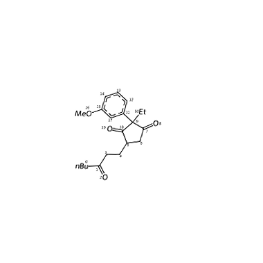 CCCCC(=O)CCC1CC(=O)C(CC)(c2cccc(OC)c2)C1=O